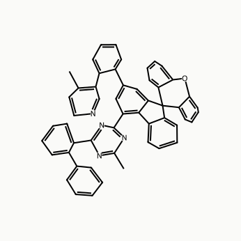 Cc1nc(-c2ccccc2-c2ccccc2)nc(-c2cc(-c3ccccc3-c3cnccc3C)cc3c2-c2ccccc2C32c3ccccc3Oc3ccccc32)n1